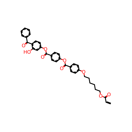 C=CC(=O)OCCCCCCOc1ccc(C(=O)Oc2ccc(C(=O)Oc3ccc(C(=O)c4ccccc4)c(O)c3)cc2)cc1